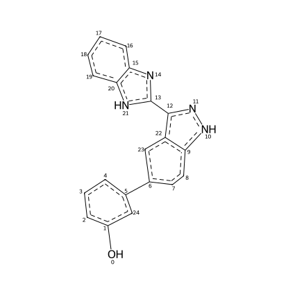 Oc1cccc(-c2ccc3[nH]nc(-c4nc5ccccc5[nH]4)c3c2)c1